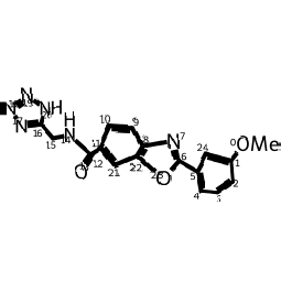 COc1cccc(-c2nc3ccc(C(=O)NCc4nnn[nH]4)cc3o2)c1